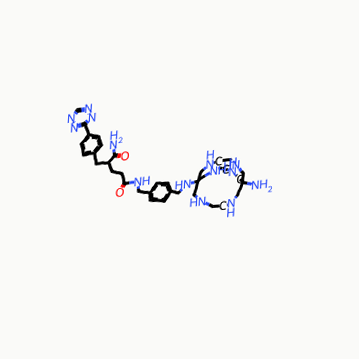 NC(=O)C(CCC(=O)NCc1ccc(CNC23CNCCNCC(N)(CNCCNC2)CNCCNC3)cc1)Cc1ccc(-c2nncnn2)cc1